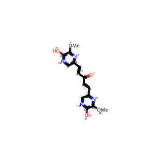 COc1nc(/C=C/C(=O)/C=C/c2cnc(O)c(OC)n2)cnc1O